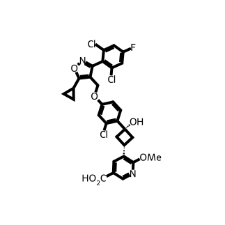 COc1ncc(C(=O)O)cc1[C@H]1C[C@](O)(c2ccc(OCc3c(-c4c(Cl)cc(F)cc4Cl)noc3C3CC3)cc2Cl)C1